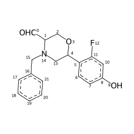 O=CC1COC(c2ccc(O)cc2F)CN1Cc1ccccc1